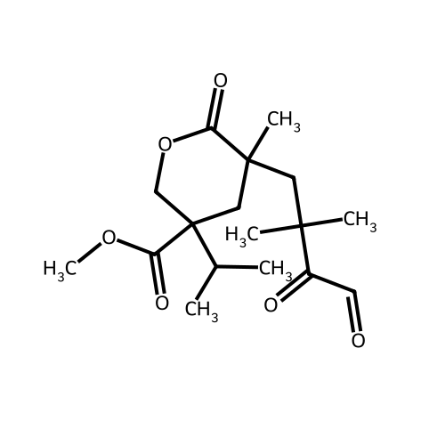 COC(=O)C1(C(C)C)COC(=O)C(C)(CC(C)(C)C(=O)C=O)C1